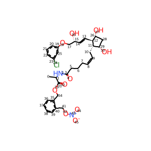 CC(NC(=O)CCC/C=C\C[C@@H]1[C@@H](/C=C/[C@@H](O)COc2cccc(Cl)c2)[C@H](O)C[C@@H]1O)C(=O)OCc1ccccc1CO[N+](=O)[O-]